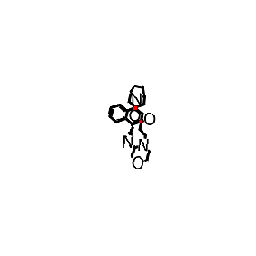 N#Cc1ccc(N2C3CCC2CC(OC(=O)CCN2CCOCC2)C3)c2ccccc12